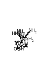 CC(C)C[C@H](NC(=O)[C@H](CC(C)C)NC(=O)[C@H](CCCNC(=N)N)NC(=O)[C@@H](N)CCCCN)C(=O)O